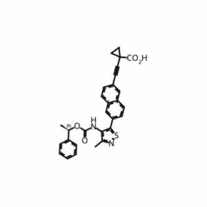 Cc1nsc(-c2ccc3cc(C#CC4(C(=O)O)CC4)ccc3c2)c1NC(=O)O[C@H](C)c1ccccc1